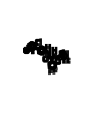 CCn1nccc1C(=O)N[C@H](C(=O)Nc1ccc(-c2c(Cl)cc[n+]([O-])c2C)cc1)C1CCC(F)(F)CC1